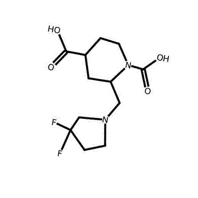 O=C(O)C1CCN(C(=O)O)C(CN2CCC(F)(F)C2)C1